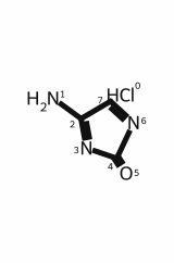 Cl.NC1=NC(=O)N=C1